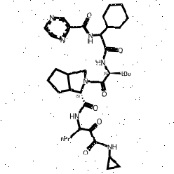 CCCC(NC(=O)[C@@H]1C2CCCC2CN1C(=O)[C@@H](NC(=O)C(NC(=O)c1cnccn1)C1CCCCC1)C(C)(C)C)C(=O)C(=O)NC1CC1